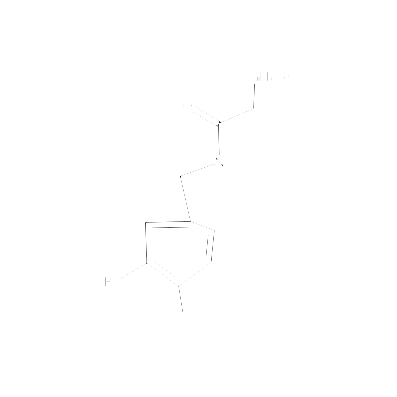 CCCCCCCCC(=O)NCc1ccc(O)c(Br)c1